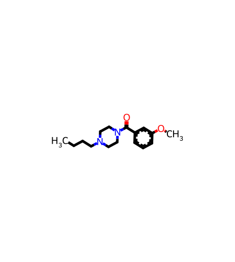 CCCCN1CCN(C(=O)c2cccc(OC)c2)CC1